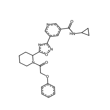 O=C(NC1CC1)c1cncc(-c2noc(C3CCCCN3C(=O)COc3ccccc3)n2)c1